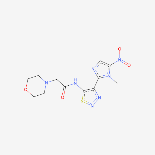 Cn1c([N+](=O)[O-])cnc1-c1nnsc1NC(=O)CN1CCOCC1